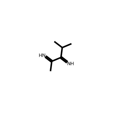 CC(=N)C(=N)C(C)C